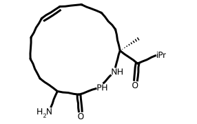 CC(C)C(=O)[C@]1(C)CCC/C=C\CCCC(N)C(=O)PN1